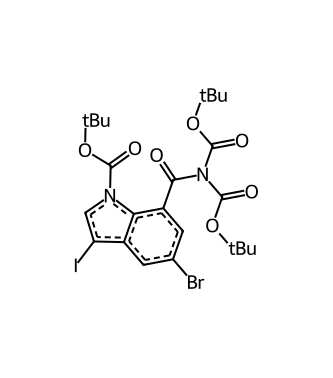 CC(C)(C)OC(=O)N(C(=O)OC(C)(C)C)C(=O)c1cc(Br)cc2c(I)cn(C(=O)OC(C)(C)C)c12